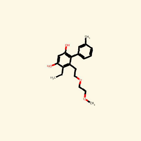 CCc1c(O)cc(O)c(-c2cccc(C)c2)c1CCOCCOC